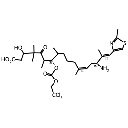 C/C(=C/C[C@H](N)/C(C)=C/c1csc(C)n1)CCCC(C)[C@H](OC(=O)OCC(Cl)(Cl)Cl)C(C)C(=O)C(C)(C)C(O)CC(=O)O